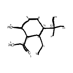 CCC1C(C(=O)O)C(O)CCC1C(C)(C)C